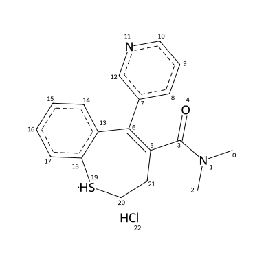 CN(C)C(=O)C1=C(c2cccnc2)c2ccccc2[SH]CC1.Cl